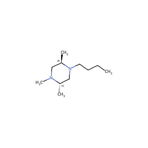 CCCCN1C[C@H](C)N(C)C[C@H]1C